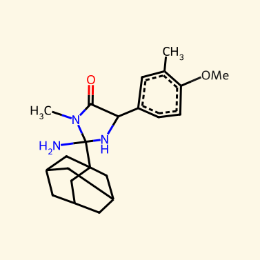 COc1ccc(C2NC(N)(C34CC5CC(CC(C5)C3)C4)N(C)C2=O)cc1C